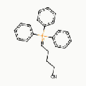 N#CCCCC=P(c1ccccc1)(c1ccccc1)c1ccccc1